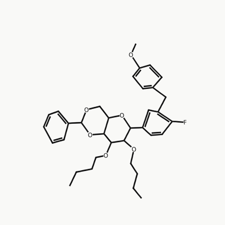 CCCCOC1C(c2ccc(F)c(Cc3ccc(OC)cc3)c2)OC2COC(c3ccccc3)OC2C1OCCCC